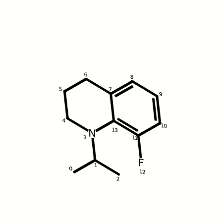 CC(C)N1CCCc2cccc(F)c21